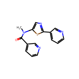 CN(C(=O)c1cccnc1)c1cnc(-c2cccnc2)s1